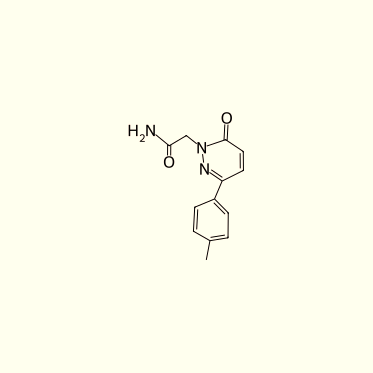 Cc1ccc(-c2ccc(=O)n(CC(N)=O)n2)cc1